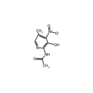 CC(=O)Nc1ncc(C)c([N+](=O)[O-])c1O